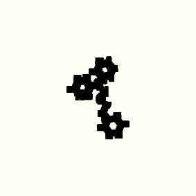 c1ccc(C(=NOCCC2CCCCC2)c2cccnc2)cc1